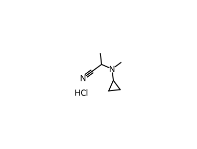 CC(C#N)N(C)C1CC1.Cl